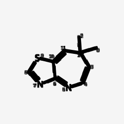 CC1(C)C=CN=c2ncsc2=C1